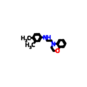 Cc1ccc(NCCN2CCOc3ccccc32)cc1C